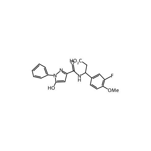 COc1ccc(C(CC(=O)O)NC(=O)c2cc(O)n(-c3ccccc3)n2)cc1F